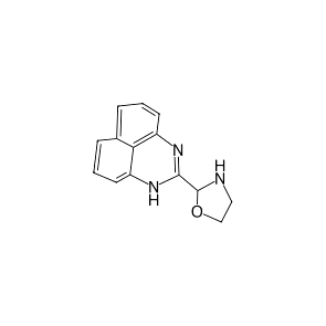 c1cc2c3c(cccc3c1)NC(C1NCCO1)=N2